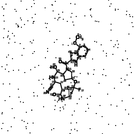 COc1cccc2[nH]c(C(=O)N3CC(OC(F)(F)F)CC3C(O)NC(C#N)CC3CCNC3=O)cc12